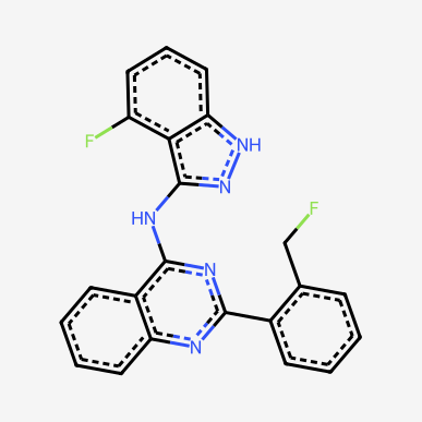 FCc1ccccc1-c1nc(Nc2n[nH]c3cccc(F)c23)c2ccccc2n1